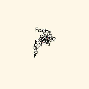 CC1(OC(=O)C(=O)OC2(C)Oc3ccccc3COC23CCN(CCCC(Oc2ccc(F)cc2)c2ccc(F)cc2)CC3)Oc2ccccc2COC12CCN(CCCC(Oc1ccc(F)cc1)c1ccc(F)cc1)CC2